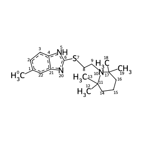 Cc1ccc2[nH]c(SCCN3C(C)(C)CCCC3(C)C)nc2c1